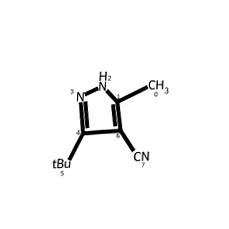 Cc1[nH]nc(C(C)(C)C)c1C#N